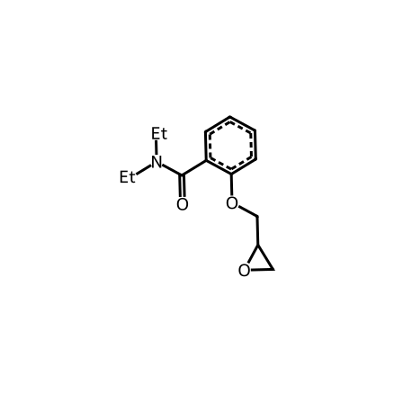 CCN(CC)C(=O)c1ccccc1OCC1CO1